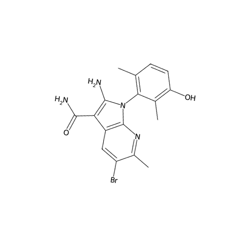 Cc1ccc(O)c(C)c1-n1c(N)c(C(N)=O)c2cc(Br)c(C)nc21